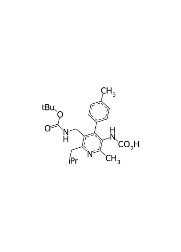 Cc1ccc(-c2c(CNC(=O)OC(C)(C)C)c(CC(C)C)nc(C)c2NC(=O)O)cc1